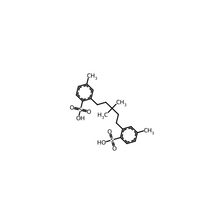 Cc1ccc(S(=O)(=O)O)c(CCC(C)(C)CCc2cc(C)ccc2S(=O)(=O)O)c1